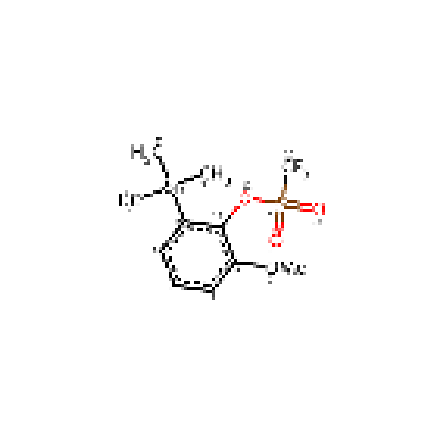 COc1cccc([Si](C)(C)C)c1OS(=O)(=O)C(F)(F)F